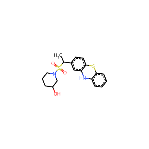 CC(c1ccc2c(c1)Nc1ccccc1S2)S(=O)(=O)N1CCCC(O)C1